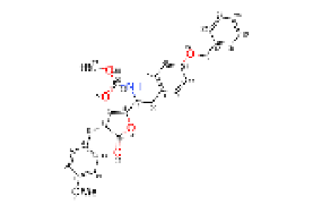 COc1ccc(C[C@@H]2C[C@@H]([C@H](Cc3ccc(OCc4ccccc4)cc3)NC(=O)OC(C)(C)C)OC2=O)cc1